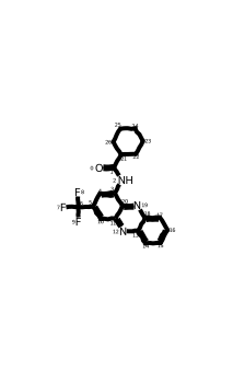 O=C(Nc1cc(C(F)(F)F)cc2nc3ccccc3nc12)C1CCCCC1